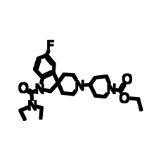 CCOC(=O)N1CCC(N2CCC3(CC2)CN(C(=O)N(CC)CC)c2ccc(F)cc23)CC1